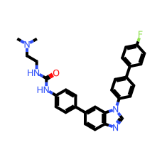 CN(C)CCNC(=O)Nc1ccc(-c2ccc3ncn(-c4ccc(-c5ccc(F)cc5)cc4)c3c2)cc1